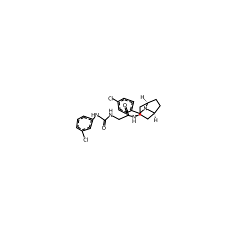 O=C(CNC(=O)Nc1cccc(Cl)c1)N[C@H]1C[C@H]2CC[C@@H](C1)N2Cc1ccc(Cl)cc1